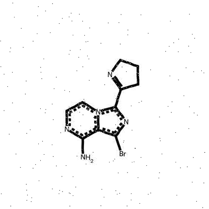 Nc1nccn2c(C3=NCCC3)nc(Br)c12